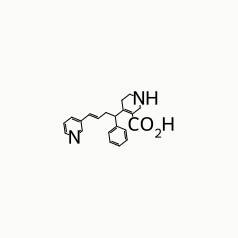 O=C(O)C1=C(C(CC=Cc2cccnc2)c2ccccc2)CCNC1